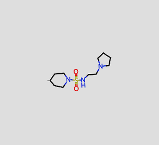 O=S(=O)(NCCN1CCCC1)N1CC[CH]CC1